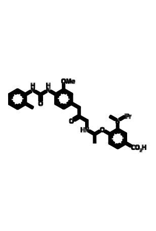 COc1cc(CC(=O)CNC(C)Oc2ccc(C(=O)O)cc2N(C)C(C)C)ccc1NC(=O)Nc1ccccc1C